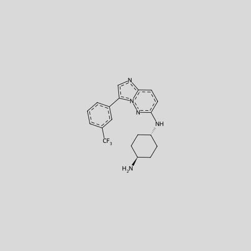 N[C@H]1CC[C@H](Nc2ccc3ncc(-c4cccc(C(F)(F)F)c4)n3n2)CC1